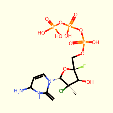 C=C1NC(N)C=CN1[C@@H]1O[C@](F)(COP(=O)(O)OP(=O)(O)OP(=O)(O)O)[C@@H](O)[C@@]1(C)Cl